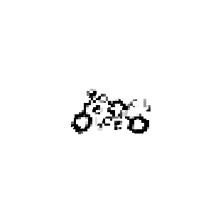 C[C@H](CCOS(=O)(=O)Cc1ccccc1)N(c1ccccc1)S(C)(=O)=O